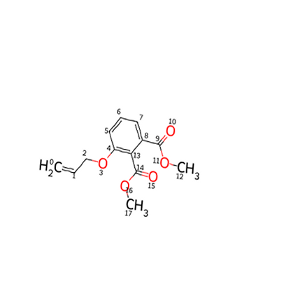 C=CCOc1cccc(C(=O)OC)c1C(=O)OC